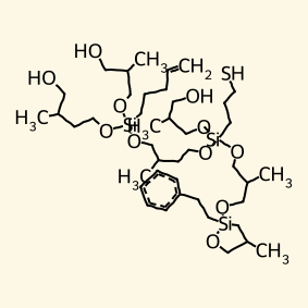 C=CCCC[Si](OCCC(C)CO)(OCC(C)CO)OCC(C)CCO[Si](CCCS)(OCC(C)CO)OCC(C)CO[Si]1(CCc2ccccc2)CC(C)CO1